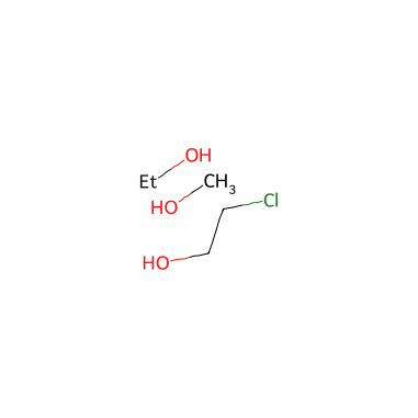 CCO.CO.OCCCl